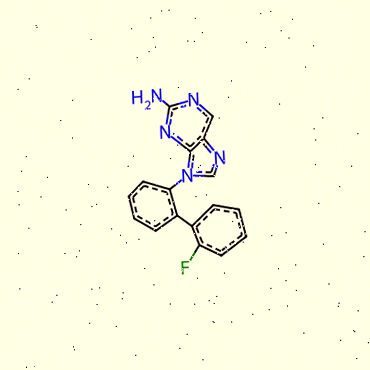 Nc1ncc2ncn(-c3ccccc3-c3ccccc3F)c2n1